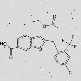 CCOC(C)=O.O=C(O)c1ccc2cc(Cc3ccc(Cl)cc3C(F)(F)F)oc2c1